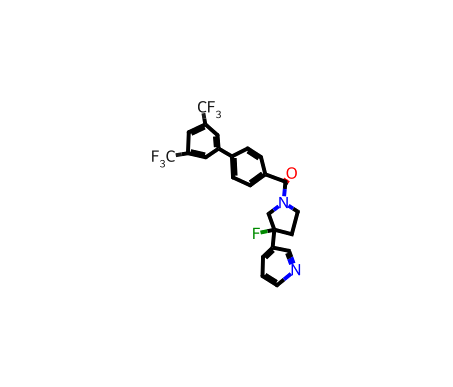 O=C(c1ccc(-c2cc(C(F)(F)F)cc(C(F)(F)F)c2)cc1)N1CCC(F)(c2cccnc2)C1